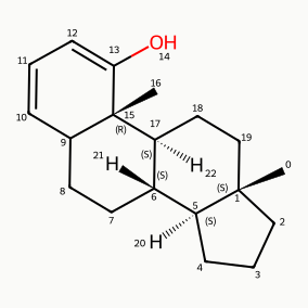 C[C@@]12CCC[C@H]1[C@@H]1CCC3C=CC=C(O)[C@]3(C)[C@H]1CC2